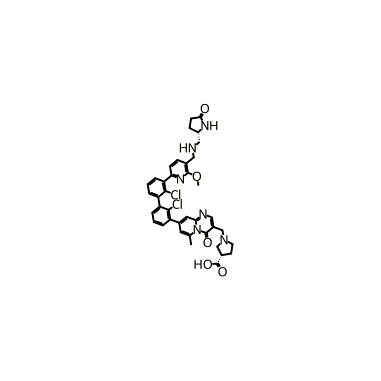 COc1nc(-c2cccc(-c3cccc(-c4cc(C)n5c(=O)c(CN6CC[C@H](C(=O)O)C6)cnc5c4)c3Cl)c2Cl)ccc1CNC[C@@H]1CCC(=O)N1